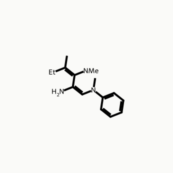 CC/C(C)=C(NC)\C(N)=C/N(C)c1ccccc1